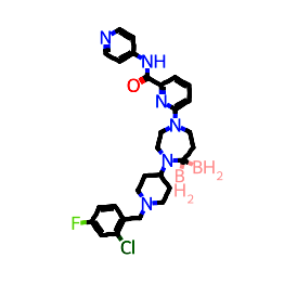 BC1(B)CCN(c2cccc(C(=O)Nc3ccncc3)n2)CCN1C1CCN(Cc2ccc(F)cc2Cl)CC1